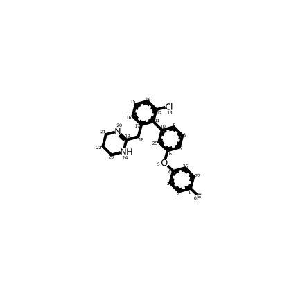 Fc1ccc(Oc2cccc(-c3c(Cl)cccc3CC3=NCCCN3)c2)cc1